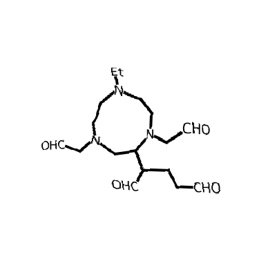 CCN1CCN(CC=O)CC(C(C=O)CCC=O)N(CC=O)CC1